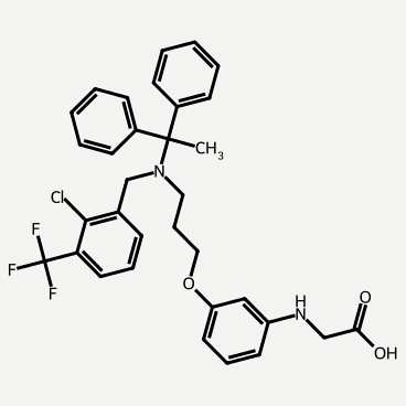 CC(c1ccccc1)(c1ccccc1)N(CCCOc1cccc(NCC(=O)O)c1)Cc1cccc(C(F)(F)F)c1Cl